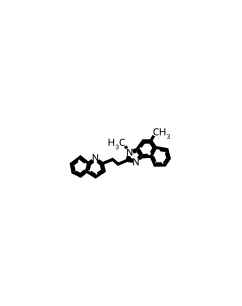 Cc1cc2c(nc(CCc3ccc4ccccc4n3)n2C)c2ccccc12